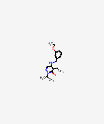 CCOc1cccc(CNc2cnn(C(C)C)c(=O)c2CC)c1